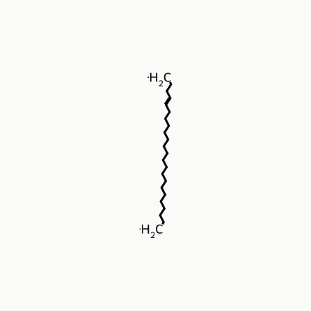 [CH2]CC/C=C/CCCCCCCCCCCCCCCCC[CH2]